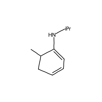 CC(C)NC1=CC=CCC1C